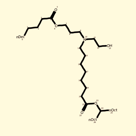 CCCCCCCCCCCCCC(=O)OCCCN(CCO)CCCCCCCC(=O)OC(CCCCCCCC)CCCCCCCC